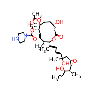 CC[C@@H](O)[C@@H](C)[C@H]1O[C@@H]1CC(C)(O)/C=C/C=C(\C)[C@H]1OC(=O)C[C@@H](O)CC[C@](C)(OC(C)=O)[C@@H](OC(=O)N2CCNCC2)/C=C/[C@@H]1C